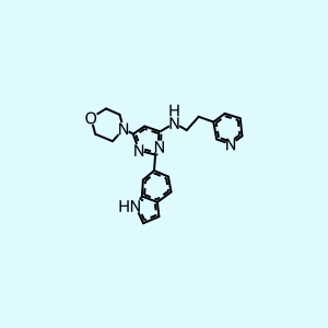 c1cncc(CCNc2cc(N3CCOCC3)nc(-c3ccc4cc[nH]c4c3)n2)c1